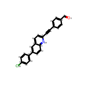 O=Cc1ccc(C#Cc2ccc3cc(-c4ccc(Cl)cc4)ccc3n2)cc1